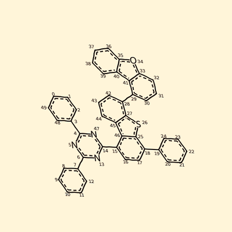 c1ccc(-c2nc(-c3ccccc3)nc(-c3ccc(-c4ccccc4)c4sc5c(-c6cccc7oc8ccccc8c67)cccc5c34)n2)cc1